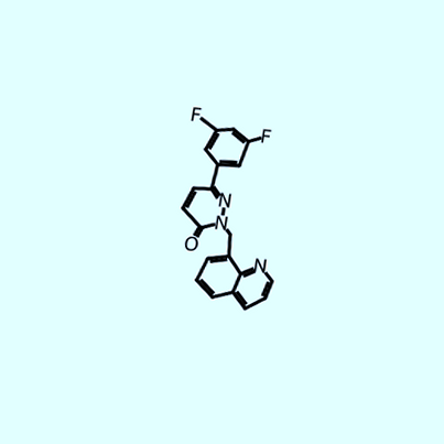 O=c1ccc(-c2cc(F)cc(F)c2)nn1Cc1cccc2cccnc12